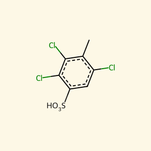 Cc1c(Cl)cc(S(=O)(=O)O)c(Cl)c1Cl